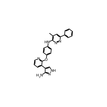 Cc1cc(-c2ccccc2)nnc1Nc1ccc(Oc2ncccc2-c2c[nH]nc2N)cc1